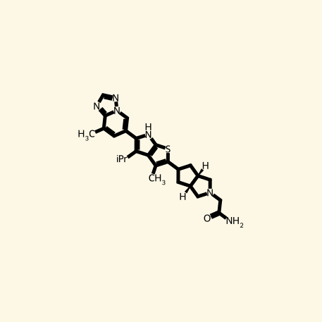 Cc1c(C2C[C@@H]3CN(CC(N)=O)C[C@@H]3C2)sc2[nH]c(-c3cc(C)c4ncnn4c3)c(C(C)C)c12